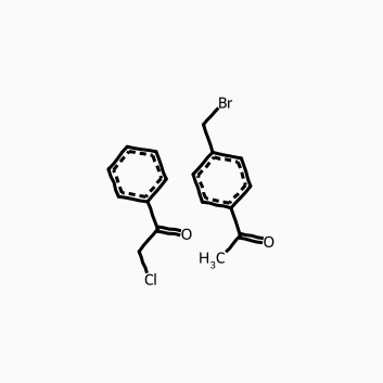 CC(=O)c1ccc(CBr)cc1.O=C(CCl)c1ccccc1